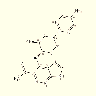 NC(=O)c1nnc2[nH]ccc2c1N[C@@H]1CCN(c2ccc(N)cn2)C[C@@H]1F